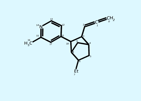 C=C=CC1C2CC(CC)C(C2)C1c1ccnc(C)c1